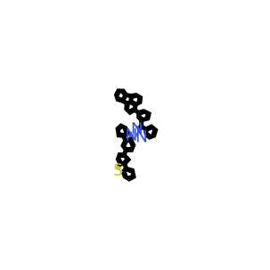 c1cc(-c2nc(-n3c4ccccc4c4cc(-c5ccc6sc7ccccc7c6c5)ccc43)nc3ccccc23)cc(-c2ccc3c4c(cccc24)-c2ccccc2-3)c1